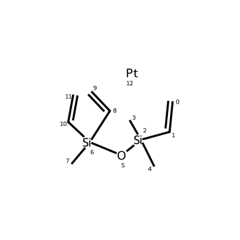 C=C[Si](C)(C)O[Si](C)(C=C)C=C.[Pt]